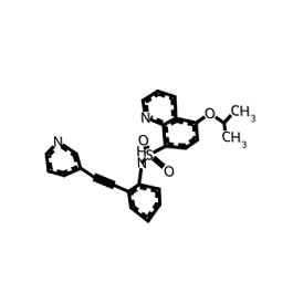 CC(C)Oc1ccc(S(=O)(=O)Nc2ccccc2C#Cc2cccnc2)c2ncccc12